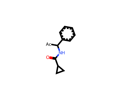 CC(=O)C(NC(=O)C1CC1)c1ccccc1